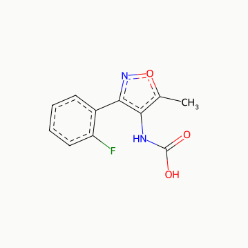 Cc1onc(-c2ccccc2F)c1NC(=O)O